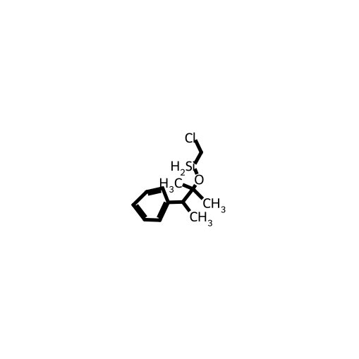 CC(c1ccccc1)C(C)(C)O[SiH2]CCl